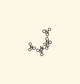 c1ccc(-n2c3ccccc3c3cc(-c4ccc5c(c4)c4ccccc4n5-c4cccc5c4oc4cccc(-c6cnc7c8cc(-c9ccc%10c(c9)c9ccccc9n%10-c9ccccc9)ccc8n(-c8ccccc8)c7c6)c45)ccc32)cc1